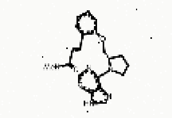 CNC(=O)C=Cc1ccccc1OC[C@H]1CCCN1c1ncnc2[nH]cnc12